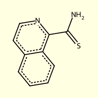 NC(=S)c1nccc2ccccc12